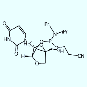 [2H]C[C@]12CO[C@H]([C@H](n3ccc(=O)[nH]c3=O)O1)[C@@]2(C)OP(OCCC#N)N(C(C)C)C(C)C